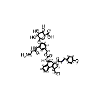 COc1ccc(/C=C/C(=O)N2CC(CCl)c3c2cc(NC(=O)OCc2ccc(O[C@@H]4O[C@H](C(=O)O)[C@@H](O)[C@H](O)[C@H]4O)c(NC(=O)CCN)c2)c2ccccc32)cc1